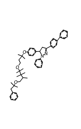 CC(COC(C)(C)Cc1ccccc1)C(C)(C)C(C)(C)OCCC(C)(C)Oc1ccc(C2CC(c3ccc(-c4ccccc4)cc3)=NN2c2ccccc2)cc1